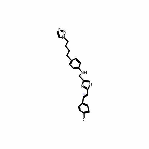 Clc1ccc(/C=C/c2nc(CNc3ccc(CCCCn4ccnn4)cc3)co2)cc1